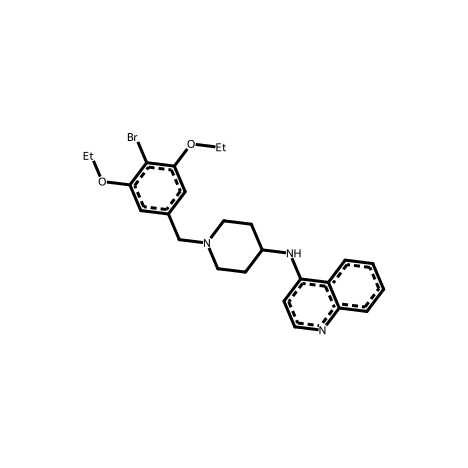 CCOc1cc(CN2CCC(Nc3ccnc4ccccc34)CC2)cc(OCC)c1Br